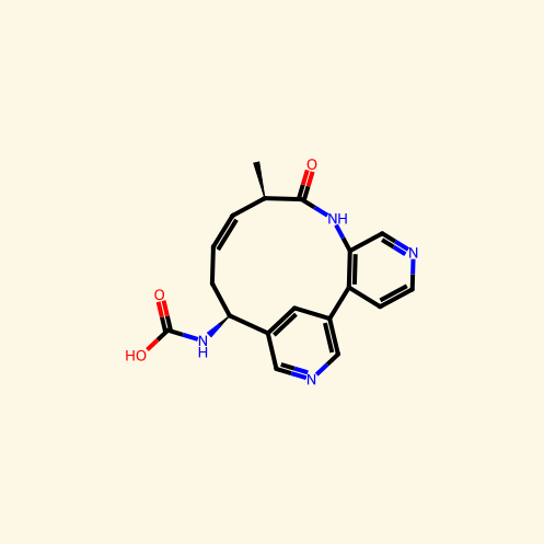 C[C@@H]1C=CC[C@H](NC(=O)O)c2cncc(c2)-c2ccncc2NC1=O